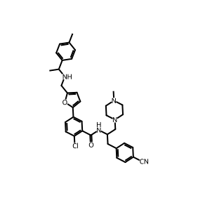 Cc1ccc(C(C)NCc2ccc(-c3ccc(Cl)c(C(=O)NC(Cc4ccc(C#N)cc4)CN4CCN(C)CC4)c3)o2)cc1